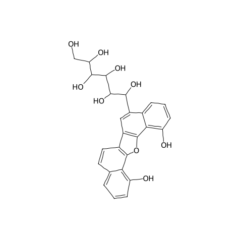 OCC(O)C(O)C(O)C(O)C(O)c1cc2c3ccc4cccc(O)c4c3oc2c2c(O)cccc12